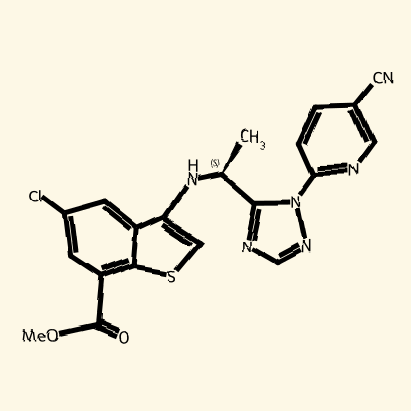 COC(=O)c1cc(Cl)cc2c(N[C@@H](C)c3ncnn3-c3ccc(C#N)cn3)csc12